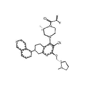 C=C(F)C(=O)N1CCN(c2c(C#N)c(OC[C@@H]3CCCN3C)nc3c2CCN(c2cccc4cnccc24)C3)C[C@@H]1C